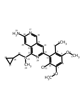 CCc1c(OC)cc(OC)c(Cl)c1-c1cc2cnc(N)cc2c(N(C)CC2CC2)n1